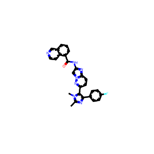 Cc1nc(-c2ccc(F)cc2)c(-c2ccc3nc(NC(=O)c4cccc5cnccc45)cn3n2)n1C